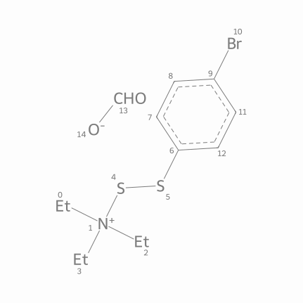 CC[N+](CC)(CC)SSc1ccc(Br)cc1.O=C[O-]